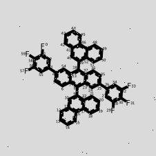 Fc1cc(-c2ccc3c(-c4cc5ccccc5c5ccccc45)c4cc(-c5cc(F)c(F)c(F)c5)ccc4c(-c4cc5ccccc5c5ccccc45)c3c2)cc(F)c1F